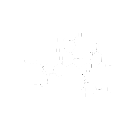 CCOC(=O)CC(NCCC[Si](O/N=C(/C)CC(C)C)(O/N=C(/C)CC(C)C)O/N=C(/C)CC(C)C)C(=O)OCC